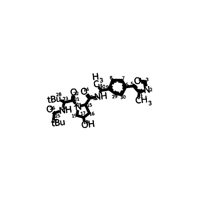 Cc1ncoc1-c1ccc(C(C)NC(=O)C2CC(O)CN2C(=O)C(NC(=O)C(C)(C)C)C(C)(C)C)cc1